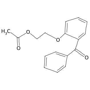 CC(=O)OCCOc1ccccc1C(=O)c1ccccc1